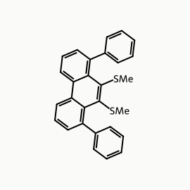 CSc1c(SC)c2c(-c3ccccc3)cccc2c2cccc(-c3ccccc3)c12